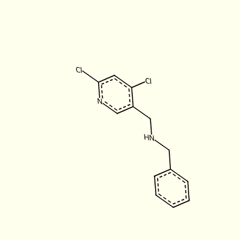 Clc1cc(Cl)c(CNCc2ccccc2)cn1